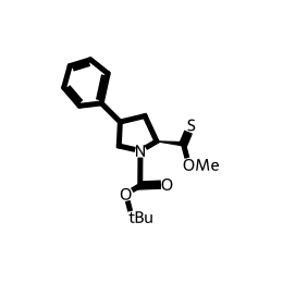 COC(=S)[C@@H]1CC(c2ccccc2)CN1C(=O)OC(C)(C)C